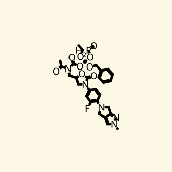 CCOC(OCc1ccccc1)(O[PH2]=O)OC(=O)N(CC1CN(c2ccc(N3Cc4cn(C)nc4C3)c(F)c2)C(=O)O1)C(C)=O